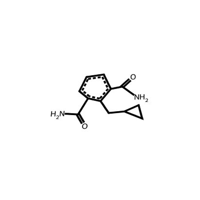 NC(=O)c1cccc(C(N)=O)c1CC1CC1